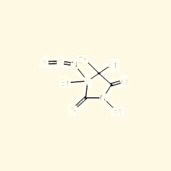 CCN1C(=O)C(CC)(CC)S(CC)(N=C=S)C1=S